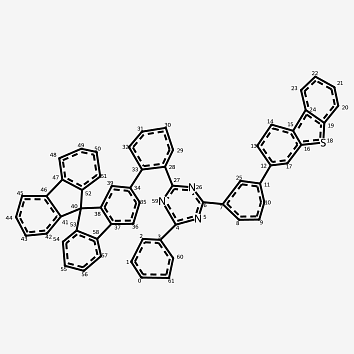 c1ccc(-c2nc(-c3cccc(-c4ccc5c(c4)sc4ccccc45)c3)nc(-c3ccccc3-c3ccc4c(c3)C3(c5ccccc5-c5ccccc53)c3ccccc3-4)n2)cc1